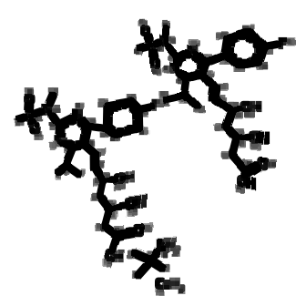 CC(C)(C)N.CC(C)c1nc(N(C)S(C)(=O)=O)nc(-c2ccc(F)cc2)c1C=C[C@@H](O)C[C@@H](O)CC(=O)O.CC(C)c1nc(N(C)S(C)(=O)=O)nc(-c2ccc(F)cc2)c1C=C[C@@H](O)C[C@@H](O)CC(=O)O.[CaH2]